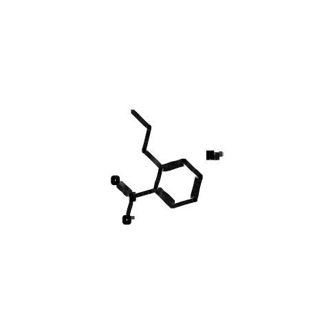 CCCc1ccccc1S(=O)[O-].[Na+]